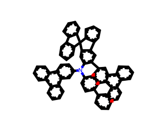 c1ccc(-c2ccc(N(c3ccc4c5ccccc5c5ccccc5c4c3)c3cc4c(cc3-c3ccc5c6ccccc6c6ccccc6c5c3)-c3ccccc3C43c4ccccc4-c4ccccc43)cc2)cc1